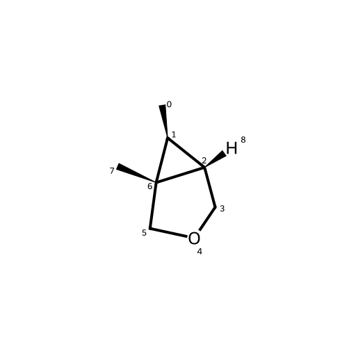 C[C@H]1[C@@H]2COC[C@]12C